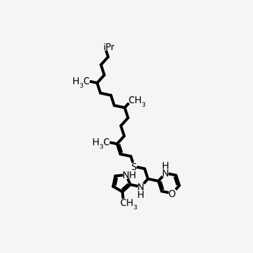 CC(=CCSCC(Nc1[nH]ccc1C)C1=COC=CN1)CCCC(C)CCCC(C)CCCC(C)C